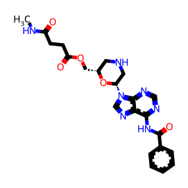 CNC(=O)CCC(=O)OC[C@@H]1CNC[C@H](n2cnc3c(NC(=O)c4ccccc4)ncnc32)O1